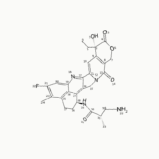 CC[C@@]1(O)C(=O)OCc2c1cc1n(c2=O)Cc2c-1nc1cc(F)c(C)c3c1c2[C@@H](NC(=O)[C@@H](C)CN)CC3